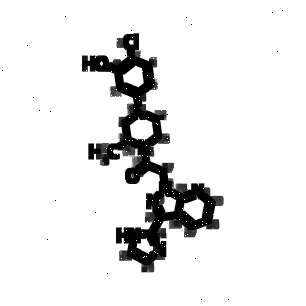 C[C@H]1CN(c2ccc(Cl)c(O)c2)CCN1C(=O)Cn1nc(-c2ncc[nH]2)c2cccnc21